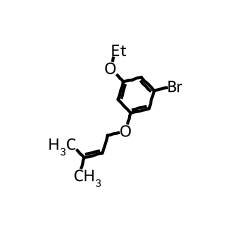 CCOc1cc(Br)cc(OCC=C(C)C)c1